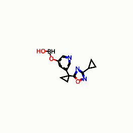 OBOc1cncc(C2(c3nc(C4CC4)no3)CC2)c1